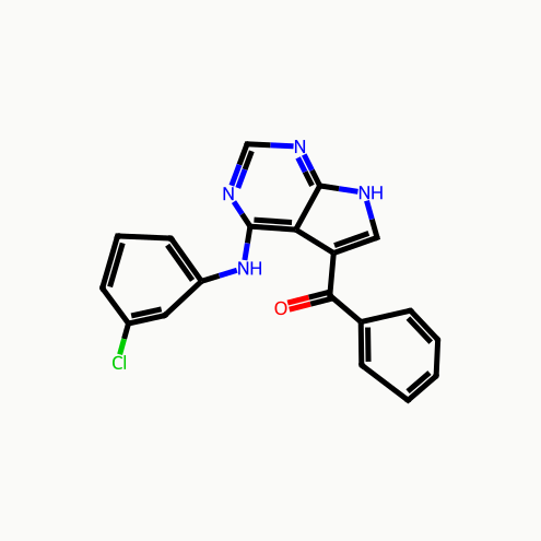 O=C(c1ccccc1)c1c[nH]c2ncnc(Nc3cccc(Cl)c3)c12